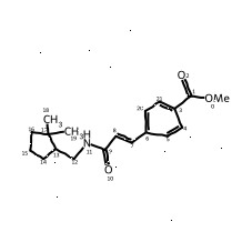 COC(=O)c1ccc(/C=C/C(=O)NCC2CCCC2(C)C)cc1